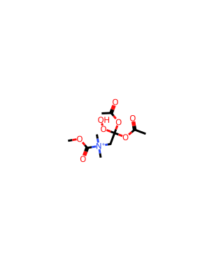 COC(=O)[N+](C)(C)CC(OO)(OC(C)=O)OC(C)=O